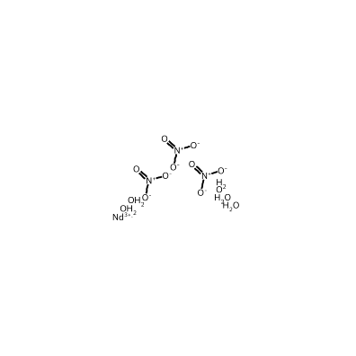 O.O.O.O.O.O=[N+]([O-])[O-].O=[N+]([O-])[O-].O=[N+]([O-])[O-].[Nd+3]